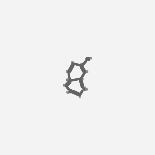 [O]c1ccc2cncnc2c1